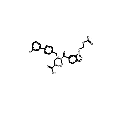 CC(=O)OCOn1nnc2ccc(C(=O)N(O)[C@H](Cc3ccc(-c4cccc(Cl)c4)cc3)C[C@@H](O)C(=O)O)cc21